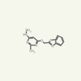 Cc1nc(NN)cc(OCc2nc3ccccc3s2)n1